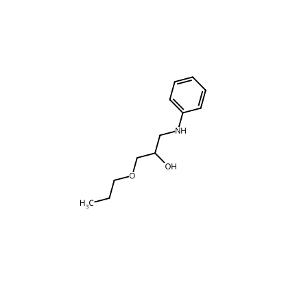 CCCOCC(O)CNc1ccccc1